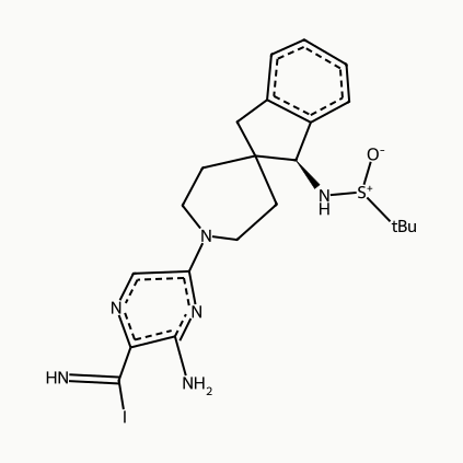 CC(C)(C)[S+]([O-])N[C@@H]1c2ccccc2CC12CCN(c1cnc(C(=N)I)c(N)n1)CC2